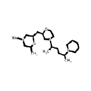 CC1CN(C(C)(C)C)CC(CC2CN(C(C)CCC(C)N3CCCCC3)CCO2)O1